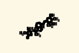 C=C1/C(=C\C=C2/CCC[C@]3(C)[C@@H]([C@H](C)C[C@@H]4OC(=O)C(=C)[C@@H]4CC)CC[C@@H]23)C[C@@H](O)[C@H](C)[C@@H]1O